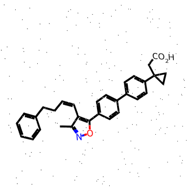 Cc1noc(-c2ccc(-c3ccc(C4(CC(=O)O)CC4)cc3)cc2)c1/C=C\CCc1ccccc1